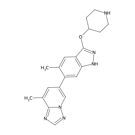 Cc1cc2c(OC3CCNCC3)n[nH]c2cc1-c1cc(C)c2ncnn2c1